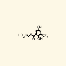 N#Cc1cc(C(F)(F)F)c(O)c(C(=O)CCC(=O)O)n1